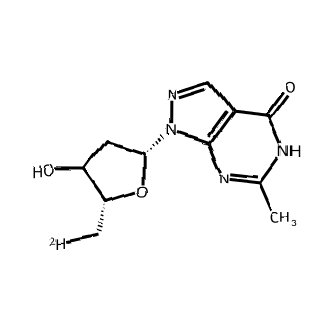 [2H]C[C@H]1O[C@@H](n2ncc3c(=O)[nH]c(C)nc32)CC1O